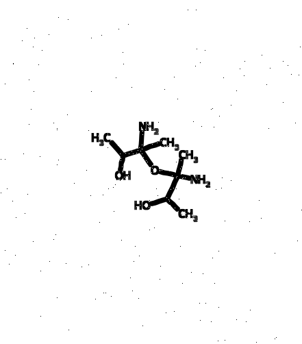 CC(O)C(C)(N)OC(C)(N)C(C)O